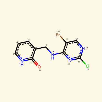 O=c1[nH]cccc1CNc1nc(Cl)ncc1Br